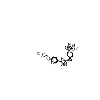 NS(=O)(=O)N1CCC2(CC1)C[C@H]2c1noc(-c2ccc(OCC(F)(F)F)nc2)n1